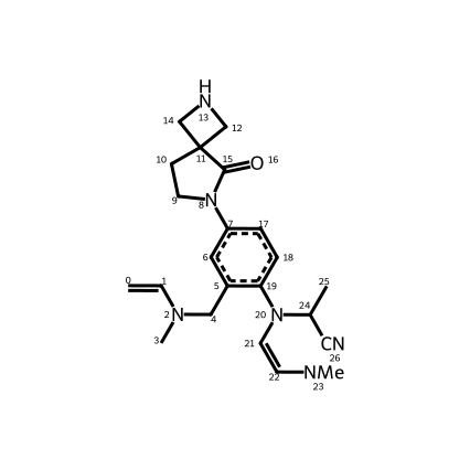 C=CN(C)Cc1cc(N2CCC3(CNC3)C2=O)ccc1N(/C=C\NC)C(C)C#N